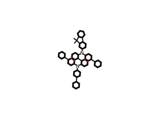 CC1(C)c2ccccc2-c2ccc(N(c3ccc(-c4ccccc4)cc3)c3ccccc3-c3ccccc3N(c3ccc(-c4ccccc4)cc3)c3ccc(-c4ccccc4)cc3)cc21